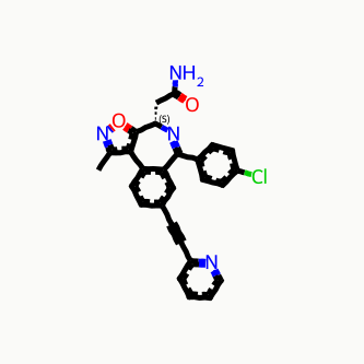 Cc1noc2c1-c1ccc(C#Cc3ccccn3)cc1C(c1ccc(Cl)cc1)=N[C@H]2CC(N)=O